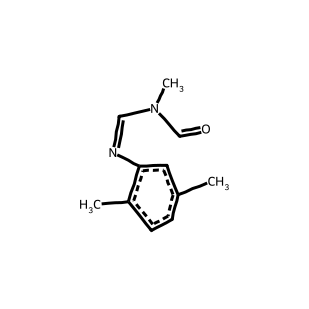 Cc1ccc(C)c(/N=C\N(C)C=O)c1